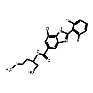 CSCCC(CO)NC(=O)c1cc(Cl)c2[nH]c(-c3c(F)cccc3Cl)nc2c1